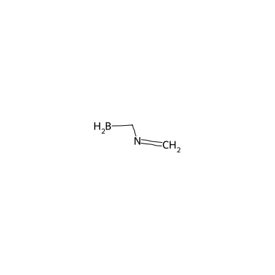 BCN=C